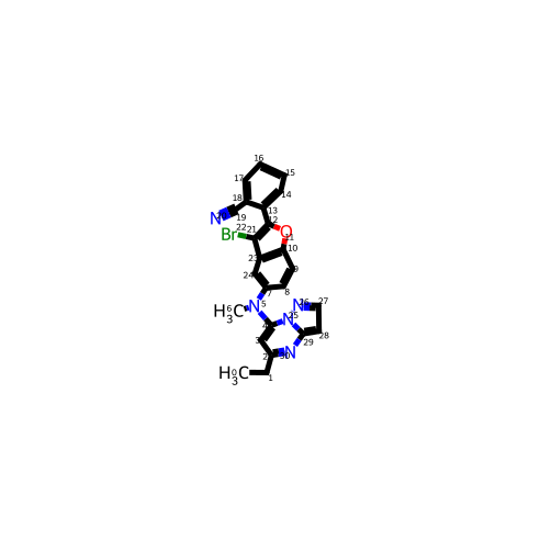 CCc1cc(N(C)c2ccc3oc(-c4ccccc4C#N)c(Br)c3c2)n2nccc2n1